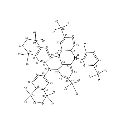 Cc1ccc(C(C)(C)C)cc1N1c2ccc(C(C)(C)C)cc2B2c3cc4c(cc3N(c3ccc5c(c3)C(C)(C)CCC5(C)C)c3cc(C(C)(C)C)cc1c32)C(C)(C)CCC4(C)C